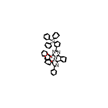 c1ccc(-c2cc(-c3ccccc3)nc(-c3ccccc3-c3nc(-c4cccc([Si](c5ccccc5)(c5ccccc5)c5ccccc5)c4)nc(-n4c5ccccc5c5ccccc54)n3)n2)cc1